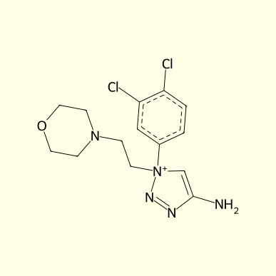 NC1=C[N+](CCN2CCOCC2)(c2ccc(Cl)c(Cl)c2)N=N1